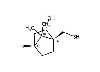 CC1(C)[C@@H]2CC[C@@]1(CS)[C@@H](O)C2